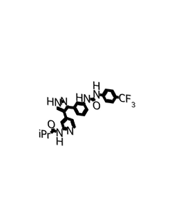 CC(C)C(=O)Nc1cc(-c2c[nH]nc2-c2cccc(NC(=O)Nc3ccc(C(F)(F)F)cc3)c2)ccn1